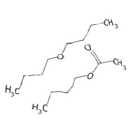 CCCCOC(C)=O.CCCCOCCCC